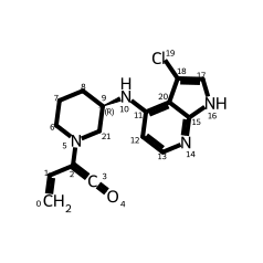 C=CC(=C=O)N1CCC[C@@H](Nc2ccnc3[nH]cc(Cl)c23)C1